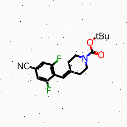 CC(C)(C)OC(=O)N1CCC(=Cc2c(F)cc(C#N)cc2F)CC1